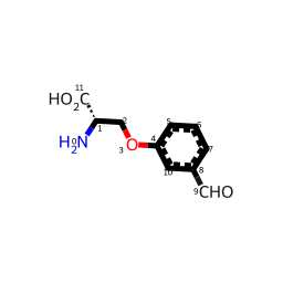 N[C@@H](COc1cccc(C=O)c1)C(=O)O